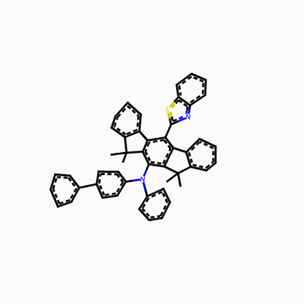 CC1(C)c2ccccc2-c2c(-c3nc4ccccc4s3)c3c(c(N(c4ccccc4)c4ccc(-c5ccccc5)cc4)c21)C(C)(C)c1ccccc1-3